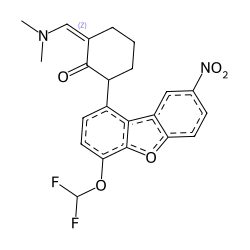 CN(C)/C=C1/CCCC(c2ccc(OC(F)F)c3oc4ccc([N+](=O)[O-])cc4c23)C1=O